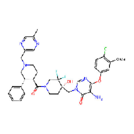 COc1cc(Oc2ncn(C[C@@]3(O)CCN(C(=O)[C@@H]4CCN(Cc5cnc(C)cn5)C[C@H]4c4ccccc4)CC3(F)F)c(=O)c2N)ccc1Cl